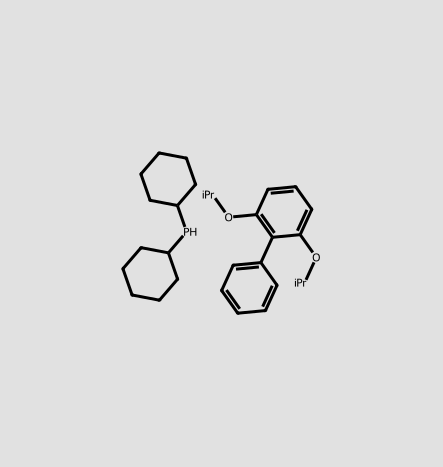 C1CCC(PC2CCCCC2)CC1.CC(C)Oc1cccc(OC(C)C)c1-c1ccccc1